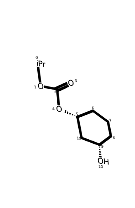 CC(C)OC(=O)O[C@@H]1CCC[C@H](O)C1